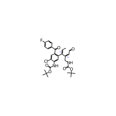 C/C=C(\C(=C/C=O)CNC(=O)OC(C)(C)C)c1cc(NC(=O)OC(C)(C)C)c(Cl)cc1C(=O)c1ccc(F)cc1